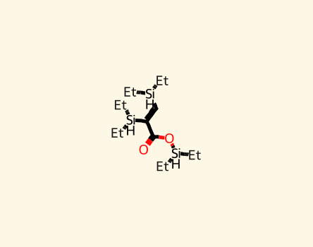 CC[SiH](C=C(C(=O)O[SiH](CC)CC)[SiH](CC)CC)CC